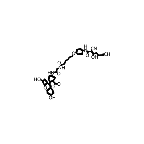 C#CCC/C(O)=C(\C#N)C(=O)Nc1ccc(OCCCCCC(=O)NCC(=O)Nc2ccc3c(c2)C(=O)OC32c3ccc(O)cc3Oc3cc(O)ccc32)cc1